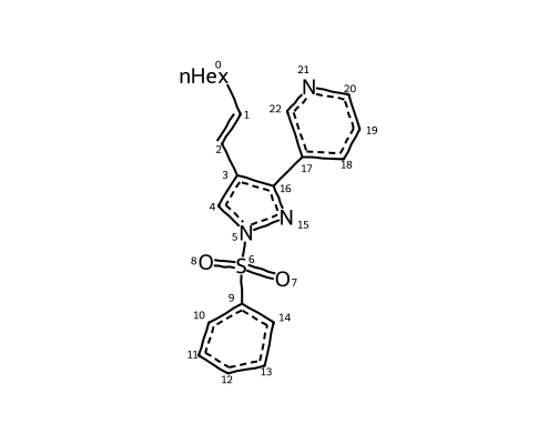 CCCCCC/C=C/c1cn(S(=O)(=O)c2ccccc2)nc1-c1cccnc1